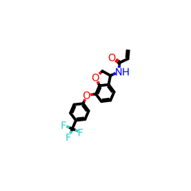 C=CC(=O)NC1COc2c(Oc3ccc(C(F)(F)F)cc3)cccc21